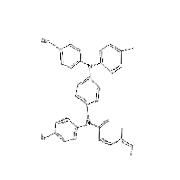 C=C(/C=C\C(C)=C/C)N(c1ccc(Br)cc1)c1ccc(N(c2ccc(C)cc2)c2ccc(Br)cc2)cc1